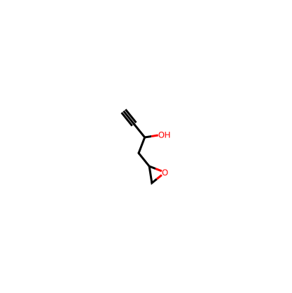 C#CC(O)CC1CO1